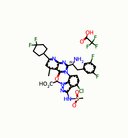 Cc1cc(C2CCC(F)(F)CC2)nc2nc([C@@H](N)Cc3cc(F)cc(F)c3)n(-c3ccc(Cl)c4c(NS(C)(=O)=O)nn(CC(=O)O)c34)c(=O)c12.O=C(O)C(F)(F)F